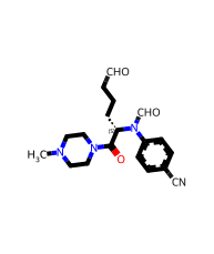 CN1CCN(C(=O)[C@H](CCCC=O)N(C=O)c2ccc(C#N)cc2)CC1